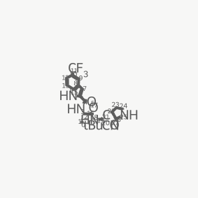 CC(C)(C)C[C@H](NC(=O)c1cc2cc(C(F)(F)F)ccc2[nH]1)C(=O)N[C@H](C#N)C[C@@H]1CCNC1=O